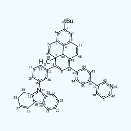 CC(C)(C)c1cc2c3c(c1)C=CC1(C)C(c4cccc(-n5c6c(c7ccccc75)C=CCC6)c4)=CC(c4ccc(-c5cccnc5)cc4)=C(C=C2)C31